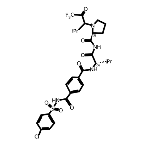 CC(C)C(C(=O)C(F)(F)F)N1CCC[C@H]1C(=O)NC(=O)[C@@H](NC(=O)c1ccc(C(=O)NS(=O)(=O)c2ccc(Cl)cc2)cc1)C(C)C